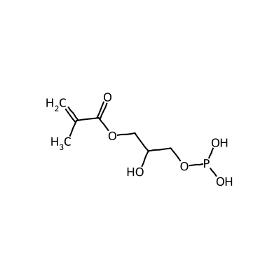 C=C(C)C(=O)OCC(O)COP(O)O